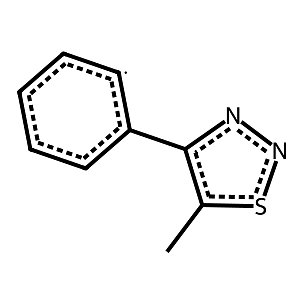 Cc1snnc1-c1[c]cccc1